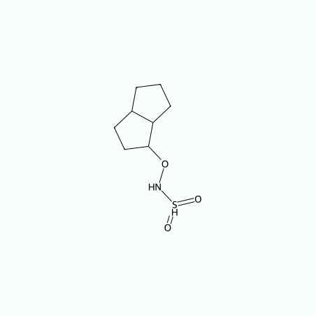 O=[SH](=O)NOC1CCC2CCCC21